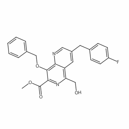 COC(=O)c1nc(CO)c2cc(Cc3ccc(F)cc3)cnc2c1OCc1ccccc1